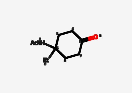 CCC1(NC(C)=O)CCC(=O)CC1